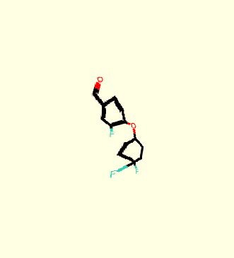 O=Cc1ccc(OC2CCC(F)(F)CC2)c(F)c1